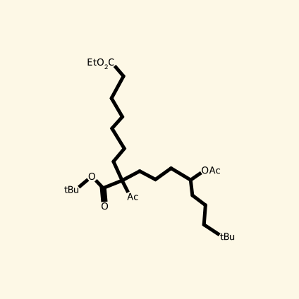 CCOC(=O)CCCCCCC(CCCC(CCCC(C)(C)C)OC(C)=O)(C(C)=O)C(=O)OC(C)(C)C